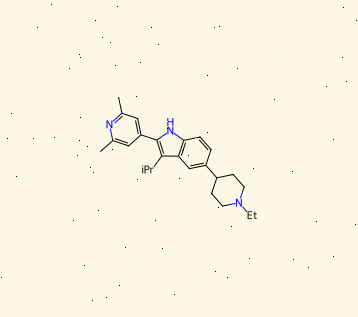 CCN1CCC(c2ccc3[nH]c(-c4cc(C)nc(C)c4)c(C(C)C)c3c2)CC1